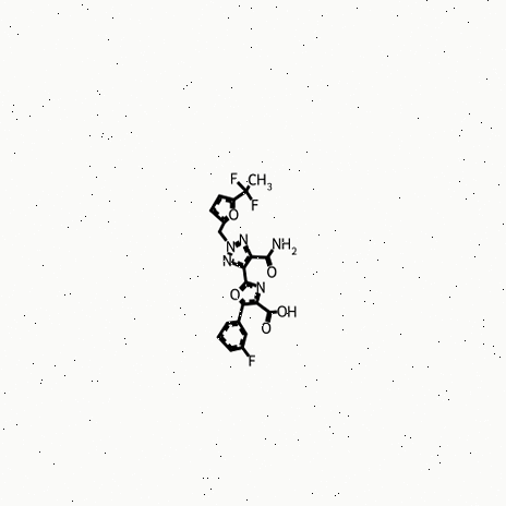 CC(F)(F)c1ccc(Cn2nc(C(N)=O)c(-c3nc(C(=O)O)c(-c4cccc(F)c4)o3)n2)o1